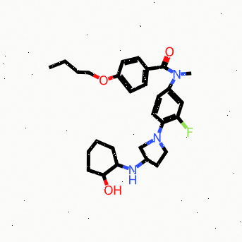 CCCCOc1ccc(C(=O)N(C)c2ccc(N3CCC(NC4CCCCC4O)C3)c(F)c2)cc1